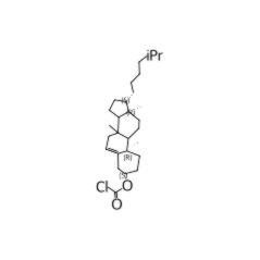 CC(C)CCCC[C@H]1CCC2C3(C)CC=C4C[C@@H](OC(=O)Cl)CC[C@]4(C)C3CC[C@@]21C